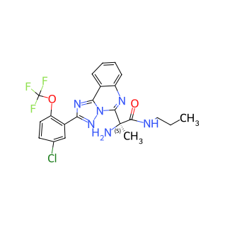 CCCNC(=O)[C@@](C)(N)c1nc2ccccc2c2nc(-c3cc(Cl)ccc3OC(F)(F)F)nn12